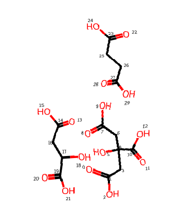 O=C(O)CC(O)(CC(=O)O)C(=O)O.O=C(O)CC(O)C(=O)O.O=C(O)CCC(=O)O